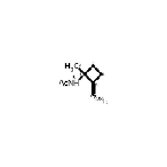 CC(=O)N[C@@]1(C)CCC1=C[123I]